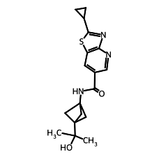 CC(C)(O)C12CC(NC(=O)c3cnc4nc(C5CC5)sc4c3)(C1)C2